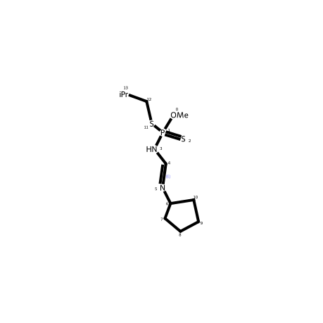 COP(=S)(N/C=N/C1CCCC1)SCC(C)C